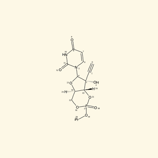 C#C[C@]1(O)C(n2ccc(=O)[nH]c2=O)O[C@@H]2COP(=O)(OC(C)C)O[C@H]21